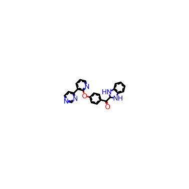 O=C(c1ccc(Oc2ncccc2-c2ccncn2)cc1)C1Nc2ccccc2N1